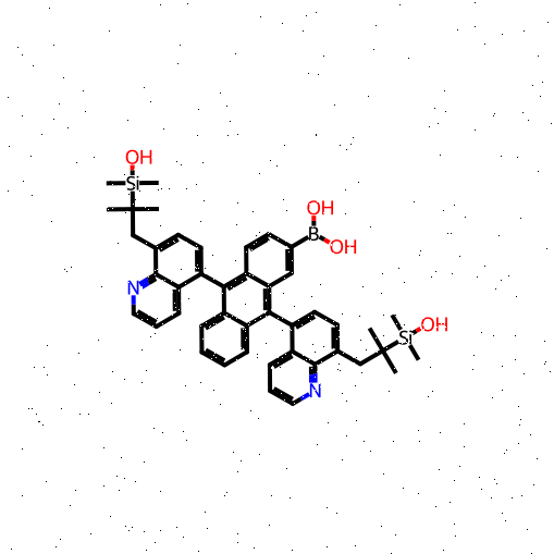 CC(C)(Cc1ccc(-c2c3ccccc3c(-c3ccc(CC(C)(C)[Si](C)(C)O)c4ncccc34)c3cc(B(O)O)ccc23)c2cccnc12)[Si](C)(C)O